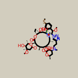 CC[C@H]1OC(=O)[C@H](C)[C@@H](O[C@H]2C[C@@](C)(OC)[C@@H](O)[C@H](C)O2)[C@H](C)[C@@H](O[C@@H]2O[C@H](C)C[C@H](N(C)CCc3cn([C@H](CF)[C@H](OC)c4ccc(SC)cc4)nn3)[C@H]2O)[C@](C)(O)C[C@@H](C)CN(C)[C@H](C)[C@@H](O)[C@]1(C)O